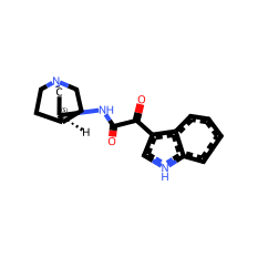 O=C(N[C@@H]1CN2CCC1CC2)C(=O)c1c[nH]c2ccccc12